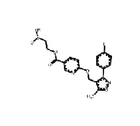 CCC[S+]([O-])CCNC(=O)c1ccc(OCc2c(-c3ccc(F)cc3)noc2C)nc1